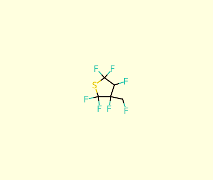 FCC1(F)C(F)C(F)(F)SC1(F)F